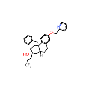 O[C@]1(CCC(F)(F)F)CC[C@@]2(Cc3ccccc3)c3ccc(OCc4ccccn4)cc3CC[C@@H]2C1